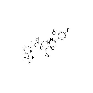 COc1cc(F)ccc1/C(C)=N/N(CC(=O)NC(C)(C)c1cccc(C(F)(F)F)c1)C(=O)CC1CC1